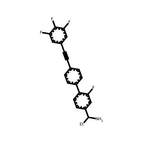 CCC(N)c1ccc(-c2ccc(C#Cc3cc(F)c(F)c(F)c3)cc2)c(F)c1